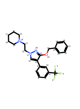 FC(F)(F)c1cccc(-c2cn(CCN3CCCCC3)nc2OCc2ccccc2)c1